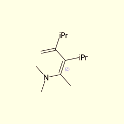 C=C(/C(=C(/C)N(C)C)C(C)C)C(C)C